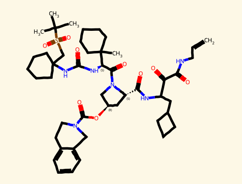 C=CCNC(=O)C(=O)C(CC1CCC1)NC(=O)[C@@H]1C[C@@H](OC(=O)N2CCc3ccccc3C2)CN1C(=O)[C@@H](NC(=O)NC1(CS(=O)(=O)C(C)(C)C)CCCCC1)C1(C)CCCCC1